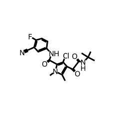 Cc1c(C(=O)C(=O)NC(C)(C)C)c(Cl)c(C(=O)Nc2ccc(F)c(C#N)c2)n1C